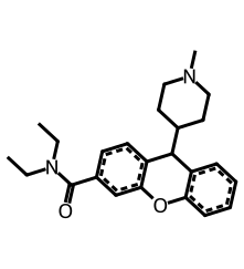 CCN(CC)C(=O)c1ccc2c(c1)Oc1ccccc1C2C1CCN(C)CC1